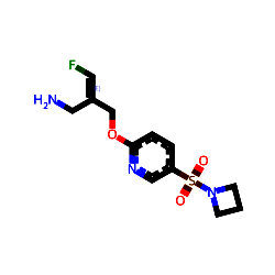 NC/C(=C\F)COc1ccc(S(=O)(=O)N2CCC2)cn1